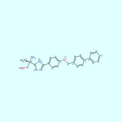 C[C@](N)(CO)c1ncc(-c2ccc(OCc3ccc(-c4ccccc4)cc3)cc2)[nH]1